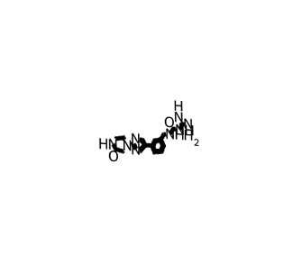 N=C(N)NC(=O)NCc1cccc(-c2cnc(N3CCNC(=O)C3)nc2)c1